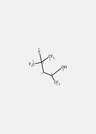 OC(CC(F)(C(F)(F)F)C(F)(F)F)C(F)(F)F